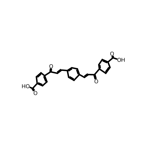 O=C(O)c1ccc(C(=O)/C=C/c2ccc(/C=C/C(=O)c3ccc(C(=O)O)cc3)cc2)cc1